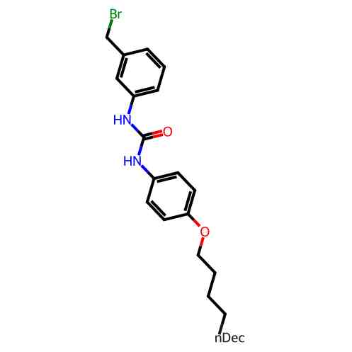 CCCCCCCCCCCCCCOc1ccc(NC(=O)Nc2cccc(CBr)c2)cc1